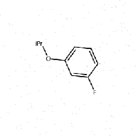 CC(C)Oc1cc[c]c(F)c1